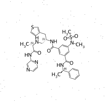 C[C@H](NC[C@H](Cc1ccsc1)NC(=O)c1cc(C(=O)N[C@H](C)c2ccccc2)cc(N(C)S(C)(=O)=O)c1)C(=O)Nc1cnccn1